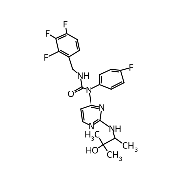 CC(Nc1nccc(N(C(=O)NCc2ccc(F)c(F)c2F)c2ccc(F)cc2)n1)C(C)(C)O